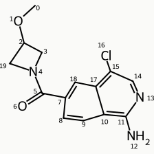 COC1CN(C(=O)c2ccc3c(N)ncc(Cl)c3c2)C1